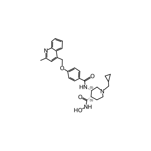 Cc1cc(COc2ccc(C(=O)N[C@@H]3CN(CC4CC4)CC[C@@H]3C(=O)NO)cc2)c2ccccc2n1